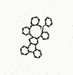 c1ccc(-n2c3ccccc3c3ccccc3c3cc4c5ccccc5c5ccccc5c4cc3c3ccccc32)cc1